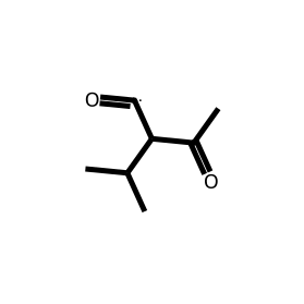 CC(=O)C([C]=O)C(C)C